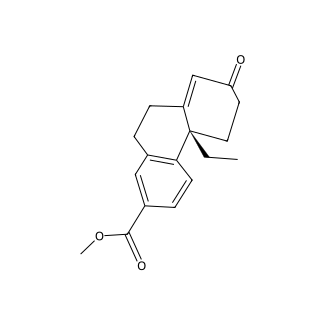 CC[C@]12CCC(=O)C=C1CCc1cc(C(=O)OC)ccc12